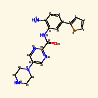 Nc1ccc(-c2cccs2)cc1NC(=O)c1ncc(N2CCNCC2)cn1